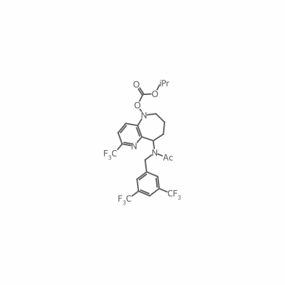 CC(=O)N(Cc1cc(C(F)(F)F)cc(C(F)(F)F)c1)C1CCCN(OC(=O)OC(C)C)c2ccc(C(F)(F)F)nc21